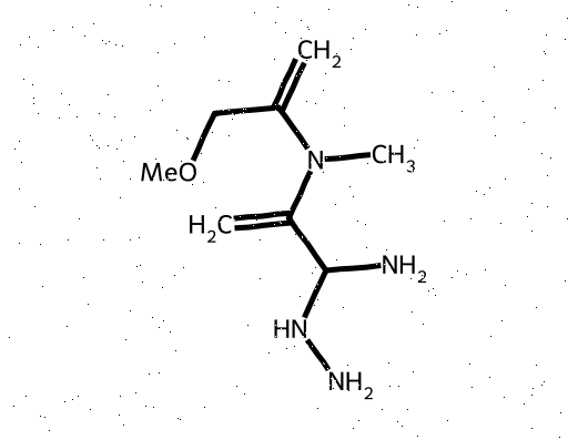 C=C(COC)N(C)C(=C)C(N)NN